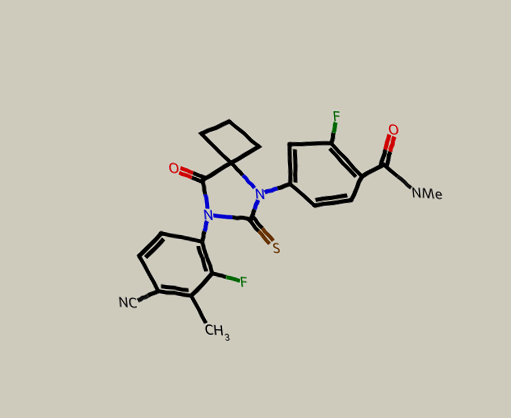 CNC(=O)c1ccc(N2C(=S)N(c3ccc(C#N)c(C)c3F)C(=O)C23CCC3)cc1F